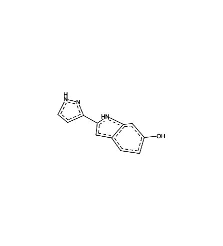 Oc1ccc2cc(-c3cc[nH]n3)[nH]c2c1